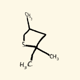 CC1CC(C)(C)S1